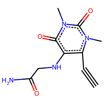 C#Cc1c(NCC(N)=O)c(=O)n(C)c(=O)n1C